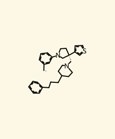 [CH2]c1cccc(N2CC[C@@](CN3CCC(CCCc4ccccc4)CC3)(c3ccsc3)C2)c1